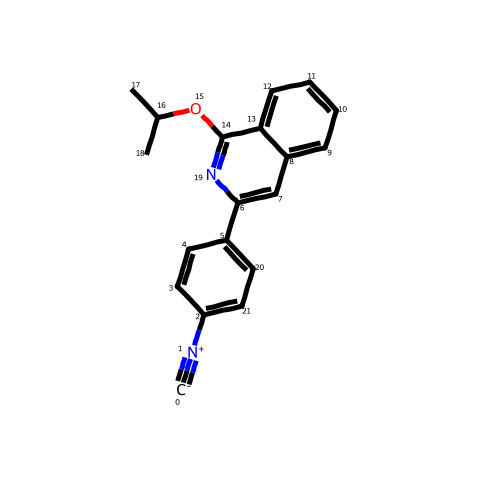 [C-]#[N+]c1ccc(-c2cc3ccccc3c(OC(C)C)n2)cc1